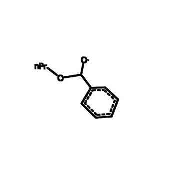 CCCOC([O])c1ccccc1